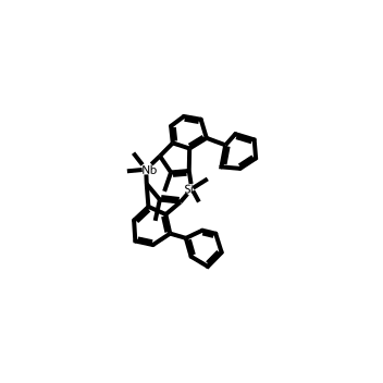 CC1=C2c3c(-c4ccccc4)cccc3[CH]1[Nb]([CH3])([CH3])[CH]1C(C)=C(c3c(-c4ccccc4)cccc31)[Si]2(C)C